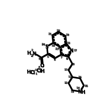 Cl.Cl.NC(=O)C1=Cc2c(CCC3CCNCC3)nc3cccc(n23)S1